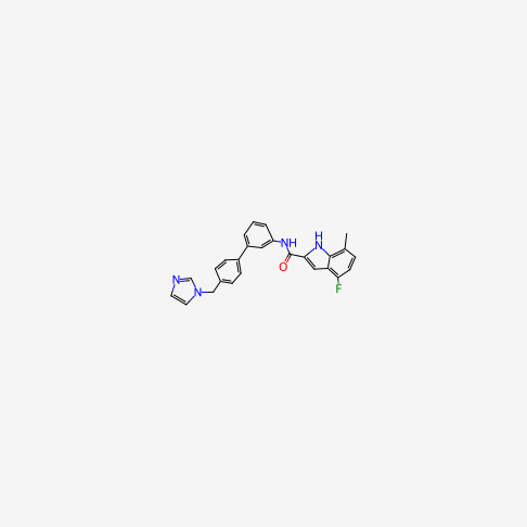 Cc1ccc(F)c2cc(C(=O)Nc3cccc(-c4ccc(Cn5ccnc5)cc4)c3)[nH]c12